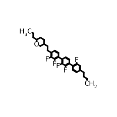 C=CCCc1ccc(-c2ccc(-c3ccc(CCC4CCC(CCC)OC4)c(F)c3F)c(F)c2F)c(F)c1